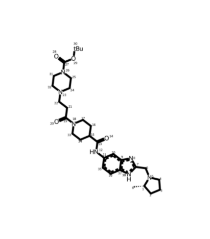 C[C@H]1CCCN1Cc1nc2cc(NC(=O)C3CCN(C(=O)CCN4CCN(C(=O)OC(C)(C)C)CC4)CC3)ccc2[nH]1